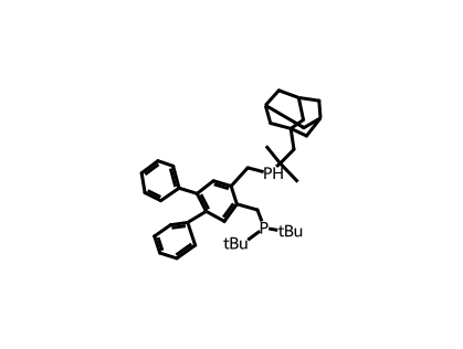 CC(C)(CC12CC3CC(CC(C3)C1)C2)PCc1cc(-c2ccccc2)c(-c2ccccc2)cc1CP(C(C)(C)C)C(C)(C)C